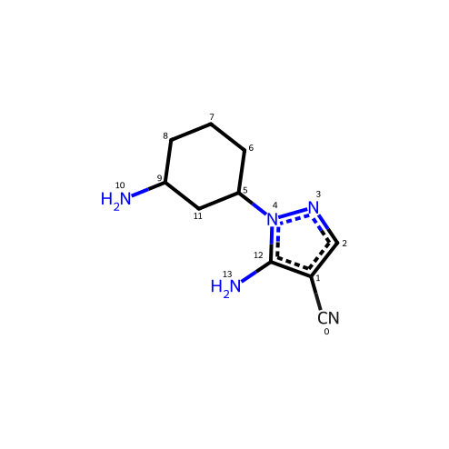 N#Cc1cnn(C2CCCC(N)C2)c1N